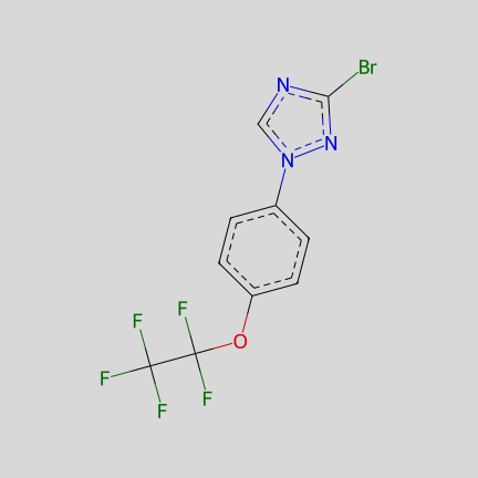 FC(F)(F)C(F)(F)Oc1ccc(-n2cnc(Br)n2)cc1